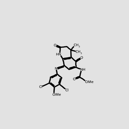 COC(=O)NC1=CC(=Nc2cc(Cl)c(OC)c(Cl)c2)C2=C(C1=O)C(C)(C)CC(=O)N2